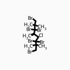 C=C([C](Cl)C(Br)(Br)C(C)(C)CBr)C(Br)(Br)C(C)(C)CBr